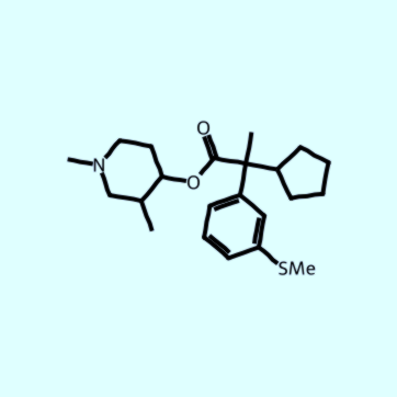 CSc1cccc(C(C)(C(=O)OC2CCN(C)CC2C)C2CCCC2)c1